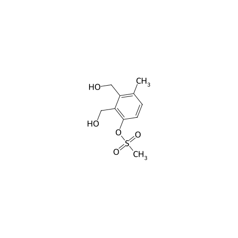 Cc1ccc(OS(C)(=O)=O)c(CO)c1CO